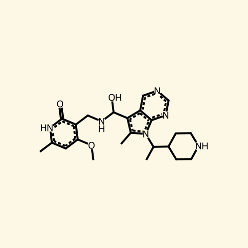 COc1cc(C)[nH]c(=O)c1CNC(O)c1c(C)n(C(C)C2CCNCC2)c2ncncc12